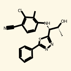 Cc1c(N[C@@H](c2nnc(-c3ccccc3)s2)[C@@H](C)O)ccc(C#N)c1Cl